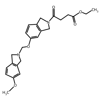 CCOC(=O)CCC(=O)N1Cc2ccc(OCN3Cc4ccc(OC)cc4C3)cc2C1